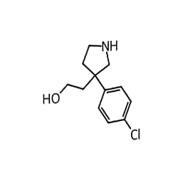 OCCC1(c2ccc(Cl)cc2)CCNC1